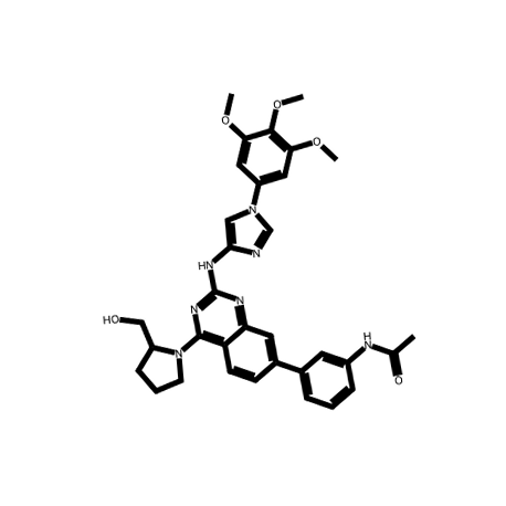 COc1cc(-n2cnc(Nc3nc(N4CCCC4CO)c4ccc(-c5cccc(NC(C)=O)c5)cc4n3)c2)cc(OC)c1OC